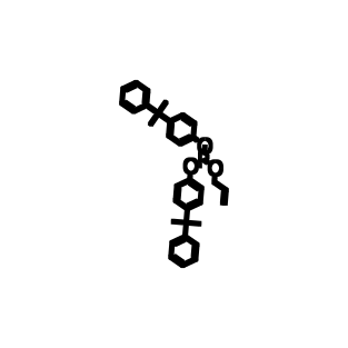 C=CCOP(Oc1ccc(C(C)(C)c2ccccc2)cc1)Oc1ccc(C(C)(C)c2ccccc2)cc1